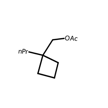 CCCC1(COC(C)=O)CCC1